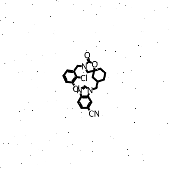 N#Cc1ccc2ncn(CC3CCCC4(C3)CN(Cc3cccc(Cl)c3Cl)C(=O)O4)c2c1